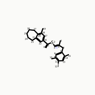 C=C(S/C=C(\C)Cc1cc(C)c(I)cc1C)c1cc(C)c2c(c1)CCCCC2